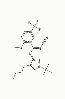 CCCCc1cn(C(C)(C)C)s/c1=N\C(=N\C#N)c1cc(C(F)(F)F)ccc1OC